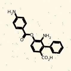 Nc1ccc(C(=O)Oc2ccc(C(=O)O)c(-c3ccccc3)c2N)cc1